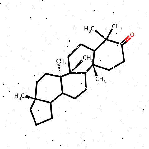 CC1(C)C(=O)CC[C@@]2(C)C1CC[C@]1(C)C2CCC2C3CCC[C@]3(C)CC[C@]21C